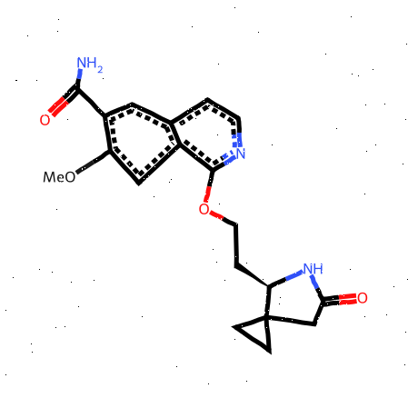 COc1cc2c(OCC[C@H]3NC(=O)CC34CC4)nccc2cc1C(N)=O